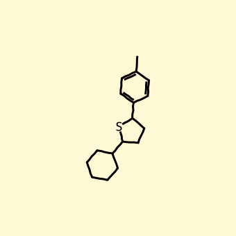 Cc1ccc(C2CCC(C3CCCCC3)S2)cc1